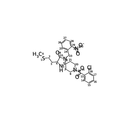 CSCCC1NC2(CCN(S(=O)(=O)c3ccccc3Cl)CC2)N(Cc2ccccc2[N+](=O)[O-])C1=O